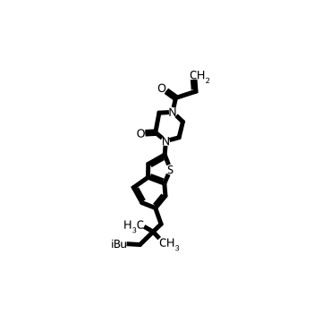 C=CC(=O)N1CCN(c2cc3ccc(CC(C)(C)CC(C)CC)cc3s2)C(=O)C1